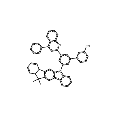 CC1(C)c2cc3c4ccccc4n(-c4cc(-c5cccc(C#N)c5)cc(-c5cc(-c6ccccc6)c6ccccc6n5)c4)c3cc2C2C=CC=CC21